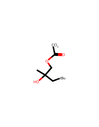 CC(C)(C)CC(C)(O)COC(=O)C(Cl)(Cl)Cl